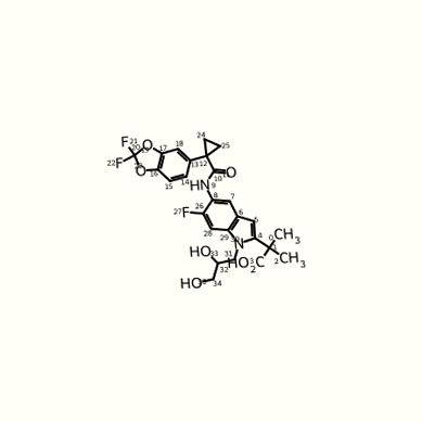 CC(C)(C(=O)O)c1cc2cc(NC(=O)C3(c4ccc5c(c4)OC(F)(F)O5)CC3)c(F)cc2n1CC(O)CO